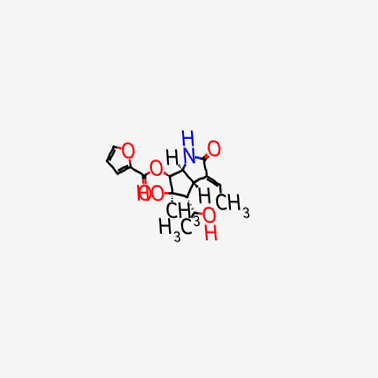 C/C=C1/C(=O)N[C@H]2[C@H]1[C@H](C(C)O)[C@@](C)(O)[C@H]2OC(=O)c1ccco1